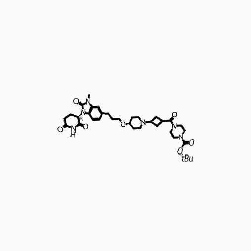 Cn1c(=O)n([C@@H]2CCC(=O)NC2=O)c2ccc(CCCOC3CCN(C4CC(C(=O)N5CCN(C(=O)OC(C)(C)C)CC5)C4)CC3)cc21